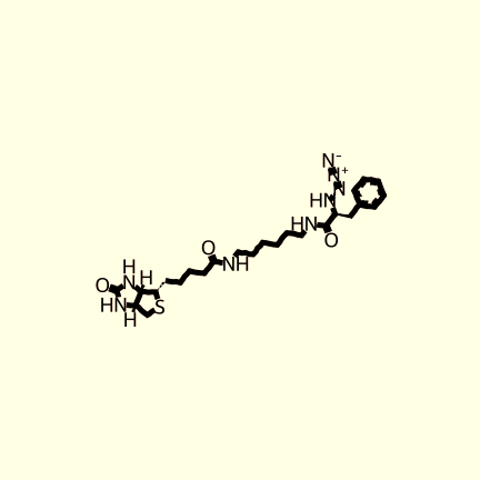 [N-]=[N+]=NN[C@@H](Cc1ccccc1)C(=O)NCCCCCCNC(=O)CCCC[C@@H]1SC[C@@H]2NC(=O)N[C@@H]21